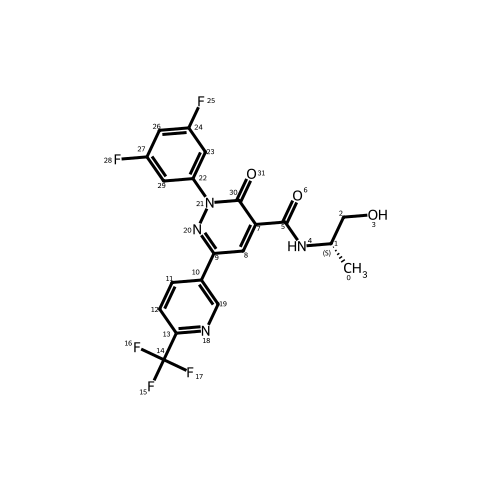 C[C@@H](CO)NC(=O)c1cc(-c2ccc(C(F)(F)F)nc2)nn(-c2cc(F)cc(F)c2)c1=O